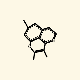 CC1=C(C)c2nccc3cc(C)cc(c23)O1